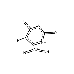 N=[N+]=N.O=c1[nH]cc(F)c(=O)[nH]1